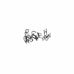 CCS(=O)(=O)c1ccc(Cl)cc1CNC(=O)c1ccc(CC2CCCC(NC(=O)CN(C)C)C2)c(C(F)(F)F)c1